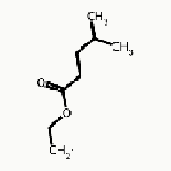 [CH2]COC(=O)CCC(C)C